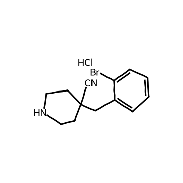 Cl.N#CC1(Cc2ccccc2Br)CCNCC1